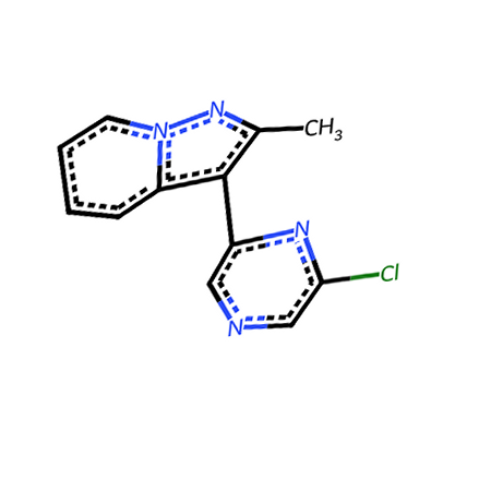 Cc1nn2ccccc2c1-c1cncc(Cl)n1